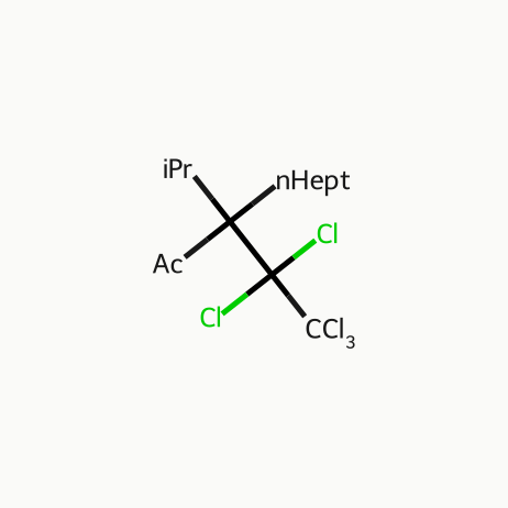 CCCCCCCC(C(C)=O)(C(C)C)C(Cl)(Cl)C(Cl)(Cl)Cl